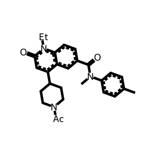 CCn1c(=O)cc(C2CCN(C(C)=O)CC2)c2cc(C(=O)N(C)c3ccc(C)cc3)ccc21